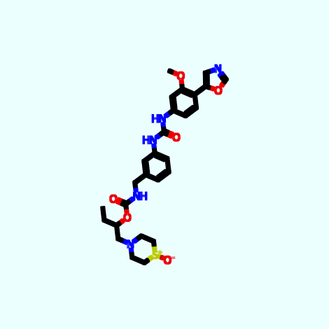 CCC(CN1CC[S+]([O-])CC1)OC(=O)NCc1cccc(NC(=O)Nc2ccc(-c3cnco3)c(OC)c2)c1